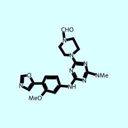 CNc1nc(Nc2ccc(-c3cnco3)c(OC)c2)nc(N2CCN(C=O)CC2)n1